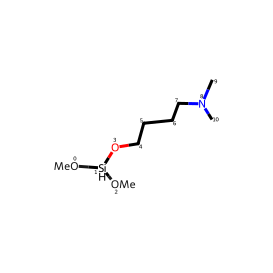 CO[SiH](OC)OCCCCN(C)C